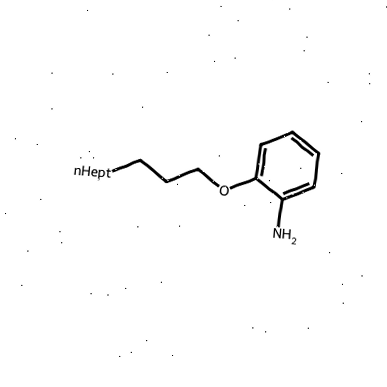 CCCCCCCCCCOc1ccccc1N